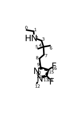 CCNCC(C)(C)CCc1nn(C)c(F)c1F